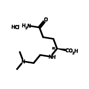 CN(C)CCN[C@@H](CCC(N)=O)C(=O)O.Cl